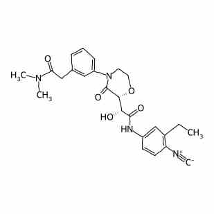 [C-]#[N+]c1ccc(NC(=O)[C@H](O)[C@H]2OCCN(c3cccc(CC(=O)N(C)C)c3)C2=O)cc1CC